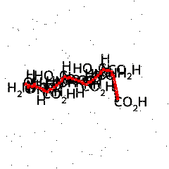 C[C@@H](O)[C@H](NC(=O)[C@H](CCCCNC(=O)CC[C@H](NC(=O)COCCOCCN[C@H](O)CC[C@H](NC(=O)COCCOCCNC(=O)CC[C@H](NC(=O)COCCOCCNC(=O)CC[C@H](NC(=O)CC[C@H](NC(=O)CCCCCCCCCCCCCCCCC(=O)O)C(=O)O)C(=O)O)C(=O)O)C(=O)O)C(=O)O)NI)C(N)=O